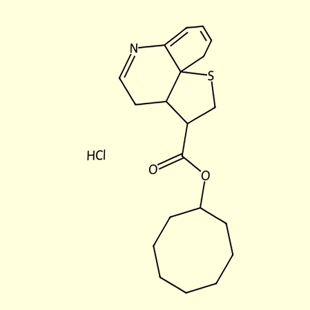 Cl.O=C(OC1CCCCCCC1)C1CSC23CC=CC=C2N=CCC13